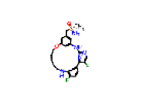 CS(=N)(=O)Cc1cc2cc(c1)OCCCCCNc1cc(ccc1F)-c1nc(ncc1F)N2